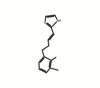 Cc1cccc(CC/C=C/c2ncc[nH]2)c1C